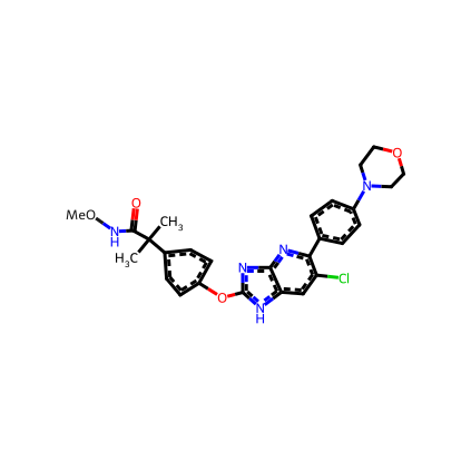 CONC(=O)C(C)(C)c1ccc(Oc2nc3nc(-c4ccc(N5CCOCC5)cc4)c(Cl)cc3[nH]2)cc1